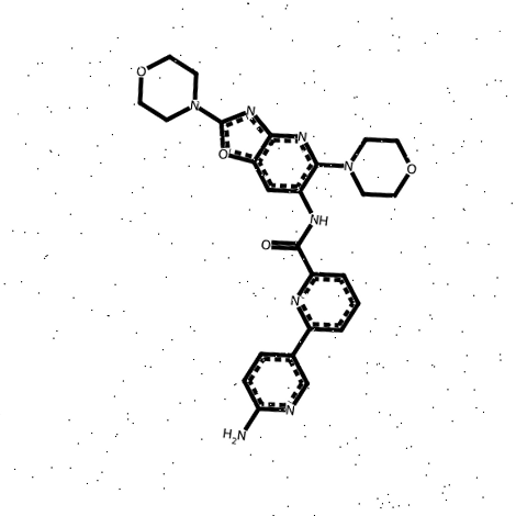 Nc1ccc(-c2cccc(C(=O)Nc3cc4oc(N5CCOCC5)nc4nc3N3CCOCC3)n2)cn1